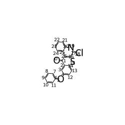 O=c1c2cc(Oc3ccccc3)ccc2sc2c(Cl)nc3ccccc3c12